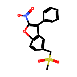 CS(=O)(=O)Cc1ccc2oc([N+](=O)[O-])c(-c3ccccc3)c2c1